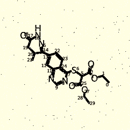 CCOC(=O)C(Sc1ncnc2cc(C3=NNC(=O)CC3C)ccc12)C(=O)OCC